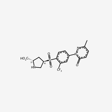 Cc1ccc(=O)n(-c2ccc(S(=O)(=O)[C@H]3CN[C@H](C(=O)O)C3)c(C(F)(F)F)c2)n1